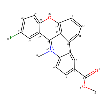 COC(=O)c1ccc2c(c1)c1cccc3c1c([n+]2C)-c1cc(F)ccc1O3